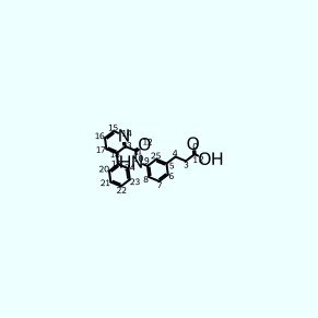 O=C(O)CCc1cccc(NC(=O)c2ncccc2-c2ccccc2)c1